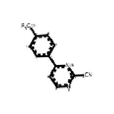 N#Cc1nccc(-c2ccc(C(F)(F)F)cc2)n1